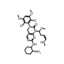 CN/C=C\CC(OC)N1C(=O)N(c2c(Cl)c(OC)cc(OC)c2Cl)Cc2cnc(NC3CCCCC3N)nc21